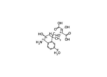 CC1(C)C[C@H](O)[C@@H](N)c2ccc(F)cc21.O.O=C(O)[C@H](O)[C@@H](O)C(=O)O